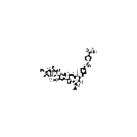 CCNC(=O)C1CCN(C(=O)Oc2ccc(C[C@H](NC(=O)[C@H](C)[C@@H](OC)[C@@H]3CCCN3C(=O)C[C@@H](OC)C([C@@H](C)CC)N(C)C(=O)[C@@H](NC(=O)[C@H](C(C)C)N(C)C)C(C)C)C(=O)NS(=O)(=O)C3CC3)cc2)CC1